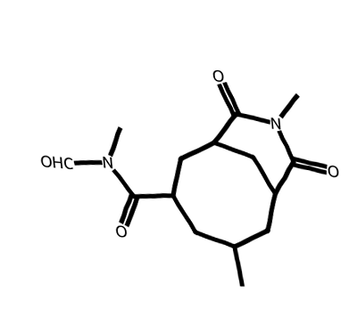 CC1CC(C(=O)N(C)C=O)CC2CC(C1)C(=O)N(C)C2=O